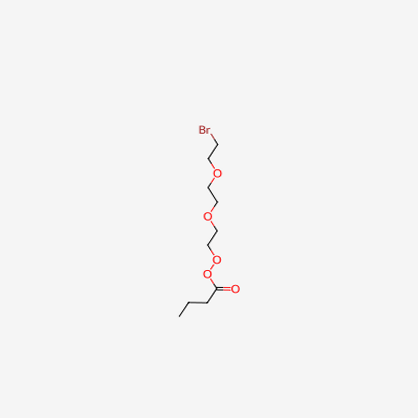 CCCC(=O)OOCCOCCOCCBr